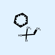 C=CC(C)(O)CC.c1ccccc1